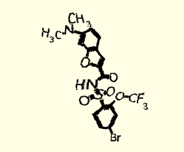 CN(C)c1ccc2cc(C(=O)NS(=O)(=O)c3ccc(Br)cc3OC(F)(F)F)oc2c1